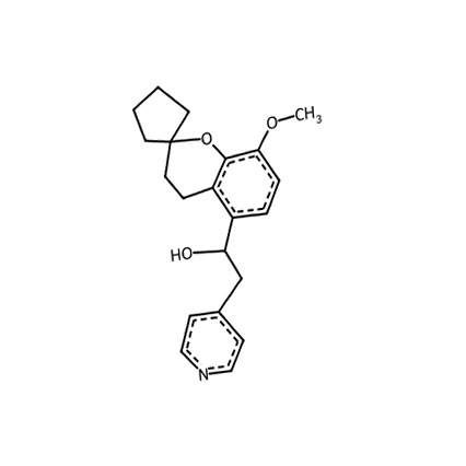 COc1ccc(C(O)Cc2ccncc2)c2c1OC1(CCCC1)CC2